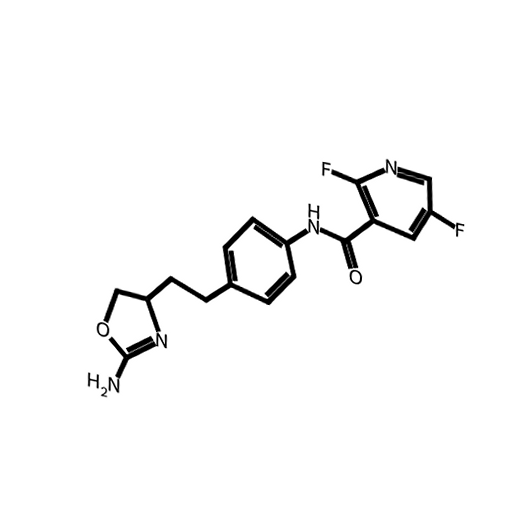 NC1=NC(CCc2ccc(NC(=O)c3cc(F)cnc3F)cc2)CO1